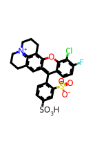 O=S(=O)([O-])c1cc(S(=O)(=O)O)ccc1C1=c2cc3c4c(c2Oc2c1ccc(F)c2Cl)CCC[N+]=4CCC3